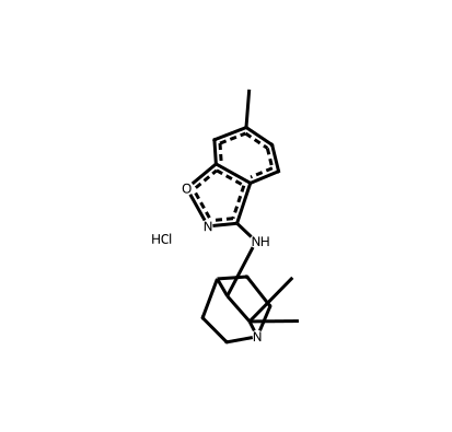 Cc1ccc2c(NC3C4CCN(CC4)C3(C)C)noc2c1.Cl